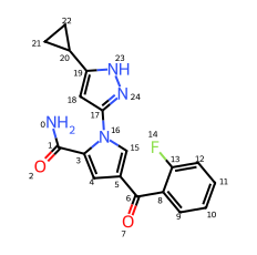 NC(=O)c1cc(C(=O)c2ccccc2F)cn1-c1cc(C2CC2)[nH]n1